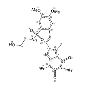 CCCn1c(=O)c2c(nc(C=Cc3cc(OC)c(OC)cc3S(=O)(=O)NCCO)n2C)n(CCC)c1=O